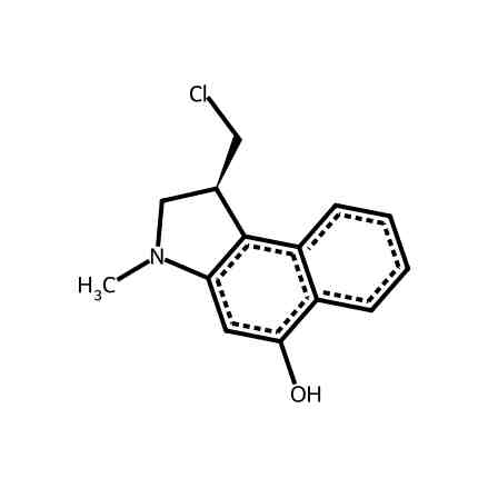 CN1C[C@@H](CCl)c2c1cc(O)c1ccccc21